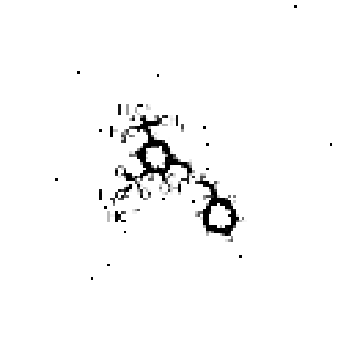 CC(C)(C)c1cc(CNCc2ccccc2)c(O)c(S(C)(=O)=O)c1.Cl